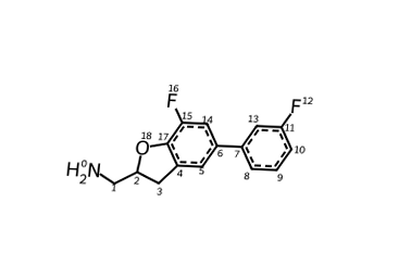 NCC1Cc2cc(-c3cccc(F)c3)cc(F)c2O1